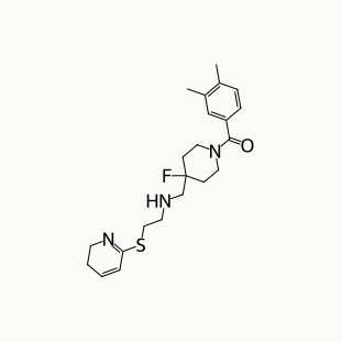 Cc1ccc(C(=O)N2CCC(F)(CNCCSC3=NCCC=C3)CC2)cc1C